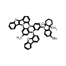 Cc1cc2c3c(c1)-n1c4c(cccc4c4sc5ccccc5c41)B3c1ccc(N3c4ccc(C(C)(C)C)cc4C4(C)CCCCC34C)cc1N2c1cccc2c1oc1ccccc12